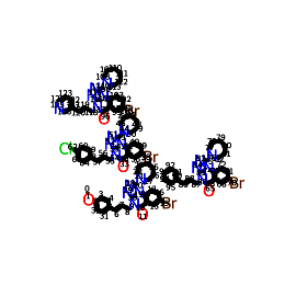 COc1ccc(C=CCn2c(=O)c3cc(Br)ccc3n3c(N4CCCCCC4)nnc23)cc1.O=c1c2cc(Br)ccc2n2c(N3CCCCCC3)nnc2n1CC=Cc1ccc(Cl)cc1.O=c1c2cc(Br)ccc2n2c(N3CCCCCC3)nnc2n1CC=Cc1ccccc1.O=c1c2cc(Br)ccc2n2c(N3CCCCCC3)nnc2n1CC=Cc1cccnc1